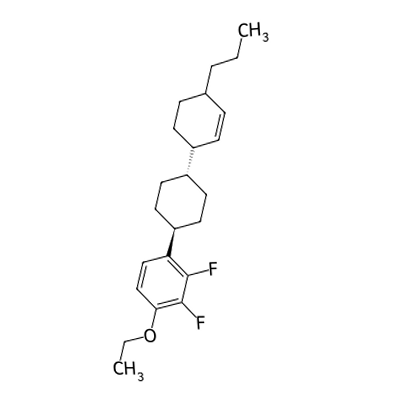 CCCC1C=CC([C@H]2CC[C@H](c3ccc(OCC)c(F)c3F)CC2)CC1